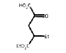 CCOC(=O)C(CC)CC(=O)C(=O)O